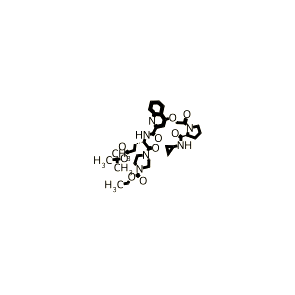 CCOC(=O)N1CCN(C(=O)[C@H](CCC(=O)OC(C)(C)C)NC(=O)c2cc(OCC(=O)N3CCC[C@H]3C(=O)NC3CC3)c3ccccc3n2)CC1